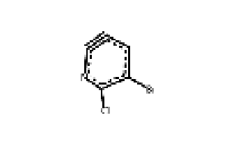 Clc1nc#ccc1Br